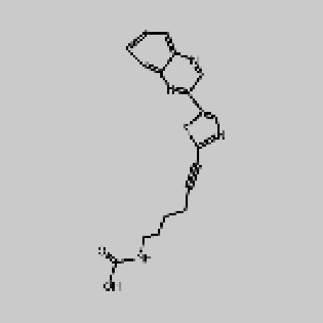 O=C(O)NCCCCC#Cc1ncc(-c2cnc3ccccc3n2)s1